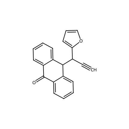 C#CC(c1ccco1)C1c2ccccc2C(=O)c2ccccc21